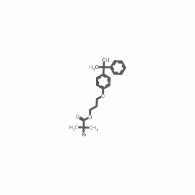 CC(C)(Br)C(=O)OCCCOc1ccc(C(C)(O)c2ccccc2)cc1